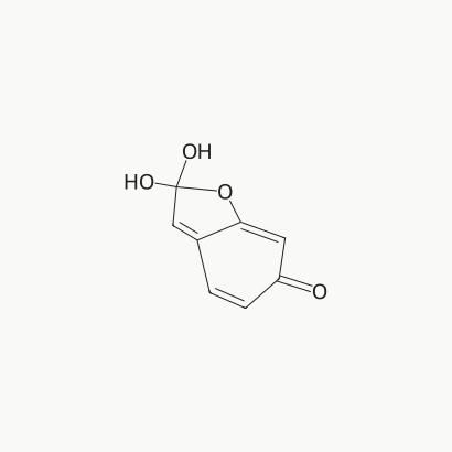 O=C1C=CC2=CC(O)(O)OC2=C1